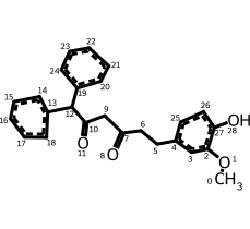 COc1cc(CCC(=O)CC(=O)C(c2ccccc2)c2ccccc2)ccc1O